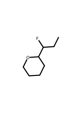 CCC(F)C1CCCCO1